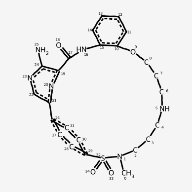 CN1CCCNCCCOc2ccccc2NC(=O)c2nc(cnc2N)-c2ccc(cc2)S1(=O)=O